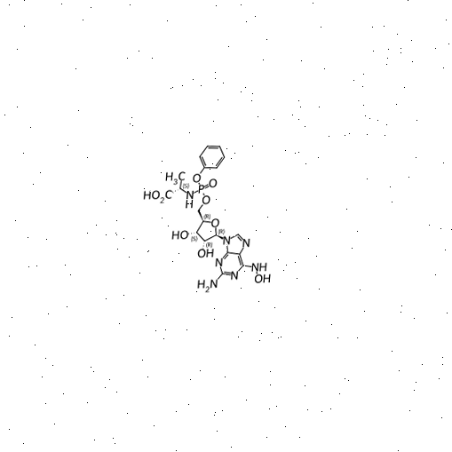 C[C@H](NP(=O)(OC[C@H]1O[C@@H](n2cnc3c(NO)nc(N)nc32)[C@H](O)[C@@H]1O)Oc1ccccc1)C(=O)O